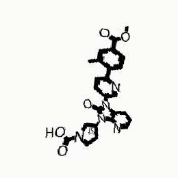 COC(=O)c1ccc(-c2ccc(-n3c(=O)n([C@H]4CCN(C(=O)O)C4)c4ncccc43)cn2)c(C)c1